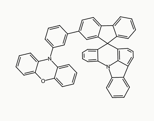 c1cc(-c2ccc3c(c2)C2(c4ccccc4-3)c3ccccc3-n3c4ccccc4c4cccc2c43)cc(N2c3ccccc3Oc3ccccc32)c1